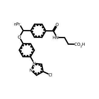 CCCC(Oc1ccc(-n2cc(Cl)cn2)cc1)c1ccc(C(=O)NCCC(=O)O)cc1